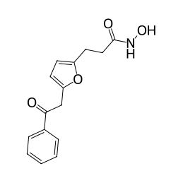 O=C(CCc1ccc(CC(=O)c2ccccc2)o1)NO